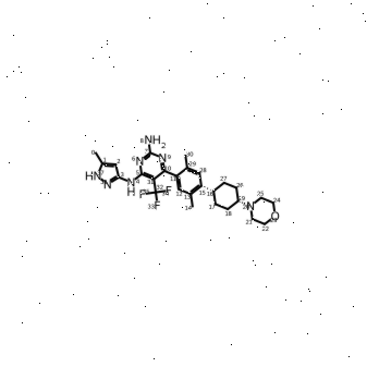 Cc1cc(Nc2nc(N)nc(-c3cc(C)c([C@H]4CC[C@@H](N5CCOCC5)CC4)cc3C)c2C(F)(F)F)n[nH]1